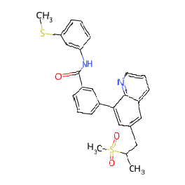 CSc1cccc(NC(=O)c2cccc(-c3cc(CC(C)S(C)(=O)=O)cc4cccnc34)c2)c1